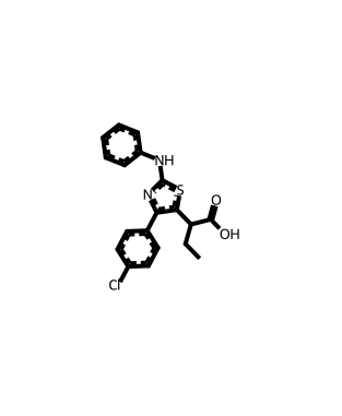 CCC(C(=O)O)c1sc(Nc2ccccc2)nc1-c1ccc(Cl)cc1